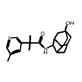 Cc1cncc(C(C)(C)C(=O)NC2C3CC4CC2CC(O)(C4)C3)c1